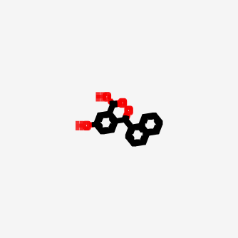 O=C(O)c1cc(O)ccc1C(=O)c1cccc2ccccc12